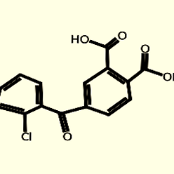 O=C(c1ccc(C(=O)O)c(C(=O)O)c1)c1ccccc1Cl